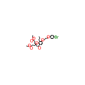 CCCc1c(OCCCOc2ccc(Br)cc2)ccc2c1OC(CCC(=O)OCC)(CCC(=O)OCC)CC2=O